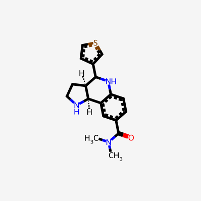 CN(C)C(=O)c1ccc2c(c1)[C@H]1NCC[C@H]1C(c1ccsc1)N2